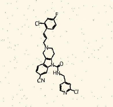 N#Cc1ccc2c3c(n(C(=O)NCc4ccnc(Cl)c4)c2c1)CCN(CC=Cc1ccc(F)cc1Cl)C3